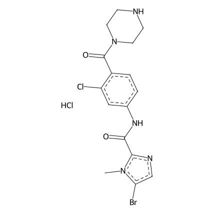 Cl.Cn1c(Br)cnc1C(=O)Nc1ccc(C(=O)N2CCNCC2)c(Cl)c1